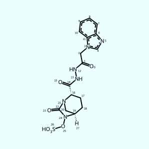 O=C(Cn1cnc2ccccc21)NNC(=O)[C@@H]1CC[C@@H]2CN1C(=O)N2OS(=O)(=O)O